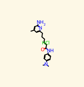 Cc1cc(N)nc(CCCCCC(=O)Nc2ccc(N(C)C)cc2)c1.Cl